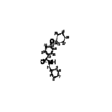 O=C(NCc1ccccc1)c1ccc(OC2CCCCC2)cc1